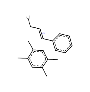 Cc1cc(C)c(C)cc1C.ClC/C=C/c1ccccc1